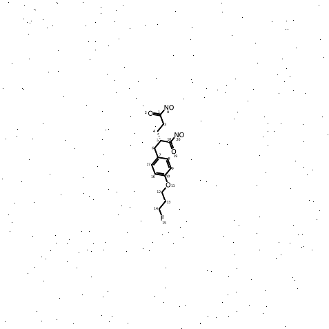 O=NC(=O)CC[C@@H](Cc1ccc(OCCCF)cc1)C(=O)N=O